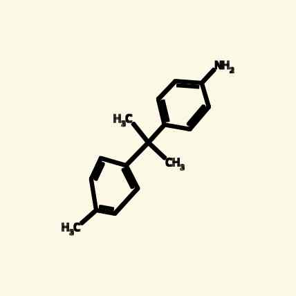 Cc1ccc(C(C)(C)c2ccc(N)cc2)cc1